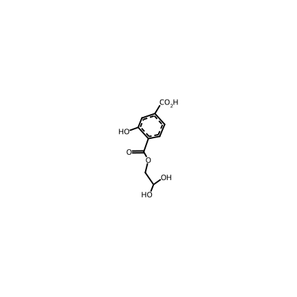 O=C(O)c1ccc(C(=O)OCC(O)O)c(O)c1